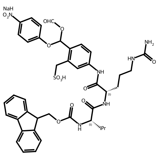 CC(C)[C@H](NC(=O)OCC1c2ccccc2-c2ccccc21)C(=O)N[C@@H](CCCNC(N)=O)C(=O)Nc1ccc(C(OC=O)Oc2ccc([N+](=O)[O-])cc2)c(CS(=O)(=O)O)c1.[NaH]